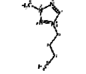 CCCC[n+]1cnn(C)n1